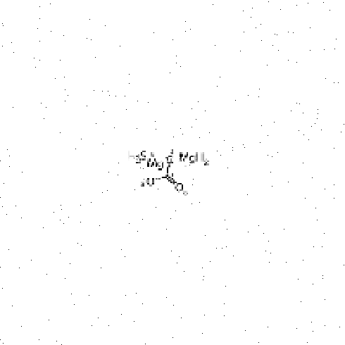 O=C([O-])[O-].S.[Mg+2].[MgH2]